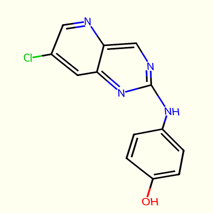 Oc1ccc(Nc2ncc3ncc(Cl)cc3n2)cc1